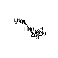 NC1CCN(CCCCCNC(=O)COc2cccc3c2C(=O)N(C2CCC(=O)NC2=O)C3=O)CC1